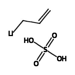 O=S(=O)(O)O.[Li][CH2]C=C